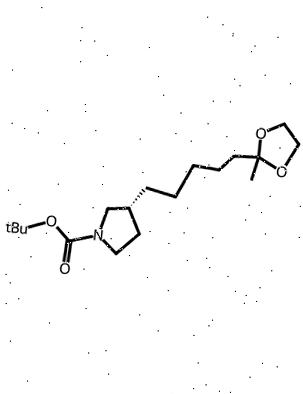 CC(C)(C)OC(=O)N1CC[C@@H](CCCCCC2(C)OCCO2)C1